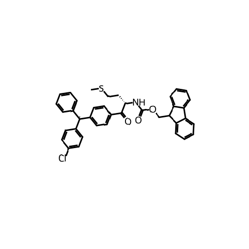 CSCC[C@H](NC(=O)OCC1c2ccccc2-c2ccccc21)C(=O)c1ccc([C](c2ccccc2)c2ccc(Cl)cc2)cc1